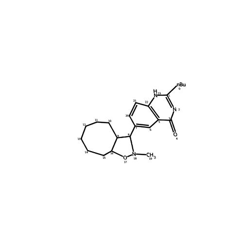 CCCCc1nc(=O)c2cc(C3C4CCCCCCC4ON3C)ccc2[nH]1